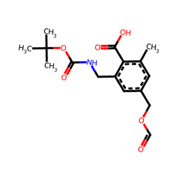 Cc1cc(COC=O)cc(CNC(=O)OC(C)(C)C)c1C(=O)O